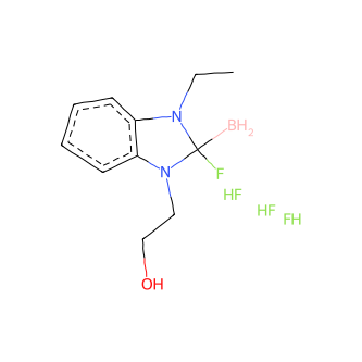 BC1(F)N(CC)c2ccccc2N1CCO.F.F.F